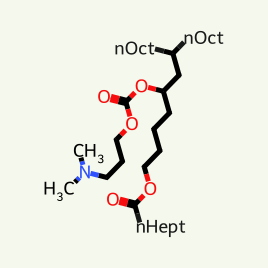 CCCCCCCCC(CCCCCCCC)CC(CCCCOC(=O)CCCCCCC)OC(=O)OCCCN(C)C